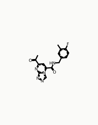 CC(=O)c1cc(C(=O)NCc2ccc(F)c(C)c2)n2cnnc2n1